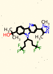 Cc1nnn(C)c1-c1cnc2c3ccc(C(C)(C)O)cc3n(C(CCC(F)(F)F)CCC(F)(F)F)c2c1